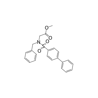 COC(=O)CN(Cc1ccccc1)S(=O)(=O)c1ccc(-c2ccccc2)cc1